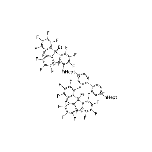 CCCCCCC[n+]1ccc(-c2cc[n+](CCCCCCC)cc2)cc1.CC[B-](c1c(F)c(F)c(F)c(F)c1F)(c1c(F)c(F)c(F)c(F)c1F)c1c(F)c(F)c(F)c(F)c1F.CC[B-](c1c(F)c(F)c(F)c(F)c1F)(c1c(F)c(F)c(F)c(F)c1F)c1c(F)c(F)c(F)c(F)c1F